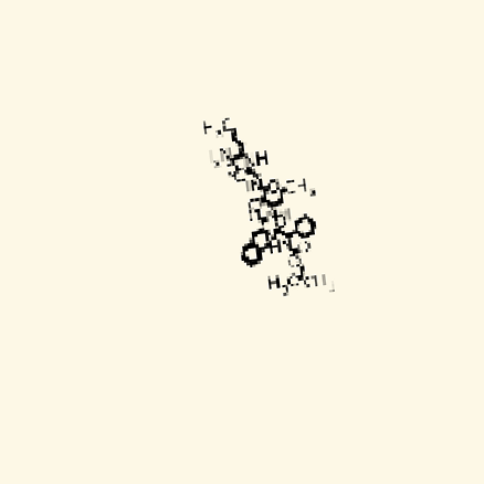 CCCCC(NC(=O)CNC(=O)C(=O)C(CCC)NC(=O)[C@@H]1Cc2ccccc2CN1C(=O)C(NC(=O)OCC(C)C)C1CCCCC1)C(N)=O